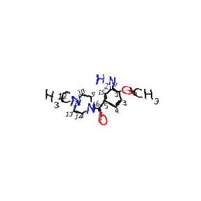 COc1ccc(C(=O)N2CCN(C)CC2)cc1N